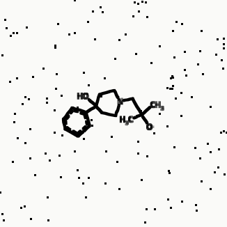 CC(C)([O])CN1CCC(O)(c2ccccc2)CC1